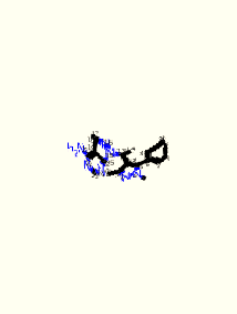 Cc1nn(C)c(-c2ccccc2)c1C(C)n1nc(C)c2c(N)ncnc21